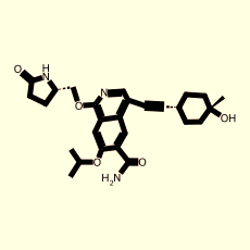 CC(C)Oc1cc2c(OC[C@@H]3CCC(=O)N3)ncc(C#C[C@H]3CC[C@@](C)(O)CC3)c2cc1C(N)=O